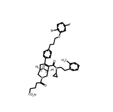 Cc1ccccc1CCN(C(=O)C1=C(c2ccc(CCCOc3cc(F)ccc3Br)cc2)C[C@@H]2CN(C(=O)CCCC(=O)O)C[C@H]1N2)C1CC1